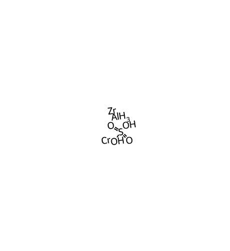 O=S(=O)(O)O.[AlH3].[Cr].[Zr]